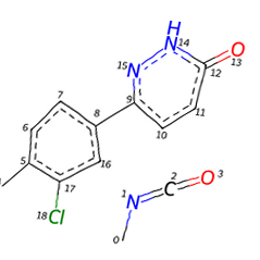 CN=C=O.Cc1ccc(-c2ccc(=O)[nH]n2)cc1Cl